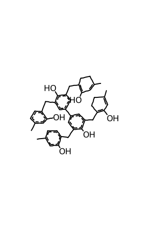 CC1=CC(O)=C(Cc2cc(-c3cc(CC4=C(O)C=C(C)CC4)c(O)c(Cc4ccc(C)cc4O)c3)cc(Cc3ccc(C)cc3O)c2O)CC1